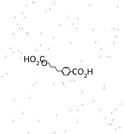 O=C(O)OCCCCc1ccc(C(=O)O)cc1